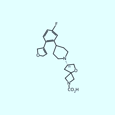 O=C(O)N1CC2(C[C@H](N3CCC(c4cc(F)ccc4C4=CCOC4)CC3)CO2)C1